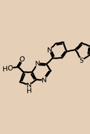 O=C(O)c1c[nH]c2ncc(-c3cc(-c4cccs4)ccn3)nc12